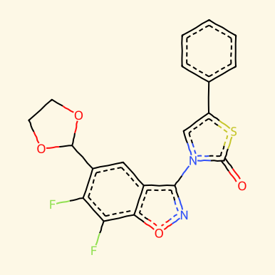 O=c1sc(-c2ccccc2)cn1-c1noc2c(F)c(F)c(C3OCCO3)cc12